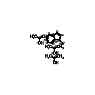 CC(C)O.CC(C)O.CC(C)O.[Zr][CH]1C=Cc2ccccc21